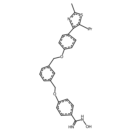 Cc1nc(-c2ccc(OCc3cccc(COc4ccc(C(=N)NO)cc4)c3)cc2)c(C(C)C)s1